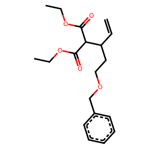 C=CC(CCOCc1ccccc1)C(C(=O)OCC)C(=O)OCC